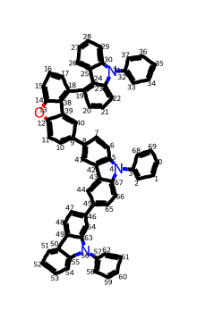 c1ccc(-n2c3ccc(-c4ccc5oc6cccc(-c7cccc8c7c7ccccc7n8-c7ccccc7)c6c5c4)cc3c3cc(-c4ccc5c6ccccc6n(-c6ccccc6)c5c4)ccc32)cc1